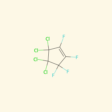 FC1=C(F)C(Cl)(Cl)C(Cl)(Cl)C1(F)F